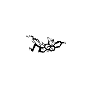 CCC(=O)O[C@]1(C(=O)CF)CC[C@H]2[C@@H]3CCC4=CC(=O)C=C[C@]4(C)[C@@]3(Cl)C(O)C[C@@]21C